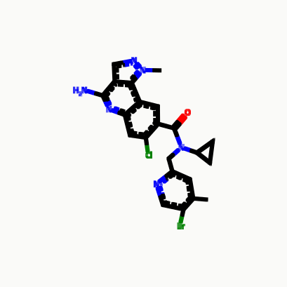 Cc1cc(CN(C(=O)c2cc3c(cc2Cl)nc(N)c2cnn(C)c23)C2CC2)ncc1Br